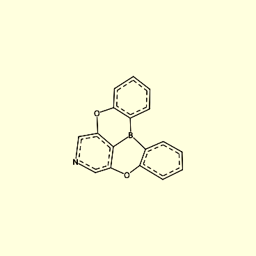 c1ccc2c(c1)Oc1cncc3c1B2c1ccccc1O3